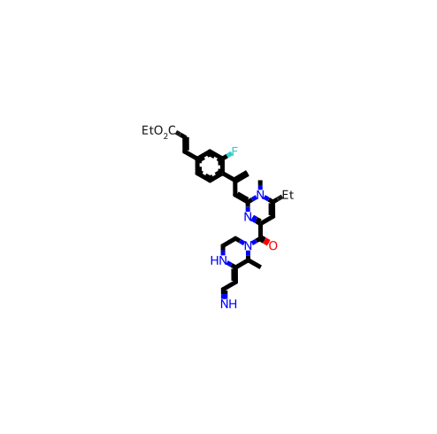 C=C(/C=C1/N=C(C(=O)N2CCN/C(=C\C=N)C2C)C=C(CC)N1C)c1ccc(/C=C/C(=O)OCC)cc1F